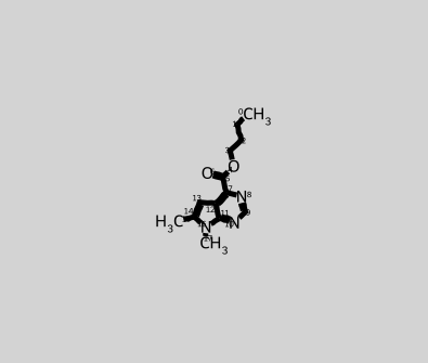 CCCCOC(=O)c1ncnc2c1cc(C)n2C